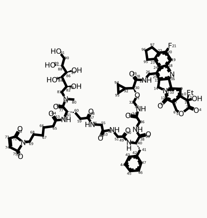 CC[C@@]1(O)C(=O)OCc2c1cc1n(c2=O)Cc2c-1nc1cc(F)c3c(c1c2CNC(=O)[C@@H](OCNC(=O)CNC(=O)[C@H](Cc1ccccc1)NC(=O)CNC(=O)CNC(=O)CC[C@H](NC(=O)CCCCCN1C(=O)C=CC1=O)C(=O)N(C)C[C@H](O)[C@@H](O)[C@H](O)[C@H](O)CO)C1CC1)CCC3